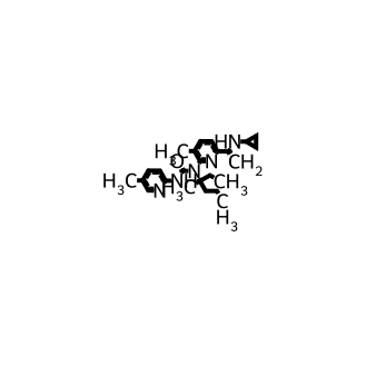 C=C(NC1CC1)c1ccc(C)c(N(C(=O)Nc2ccc(C)cn2)C(C)(CC)CCC)n1